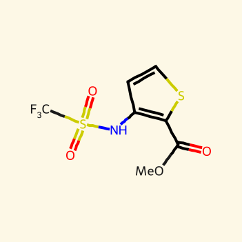 COC(=O)c1sccc1NS(=O)(=O)C(F)(F)F